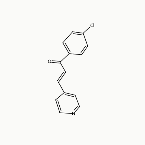 O=C(C=Cc1ccncc1)c1ccc(Cl)cc1